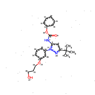 CC(C)(C)c1cc(NC(=O)Oc2ccccc2)n(-c2cccc(OCCCO)c2)n1